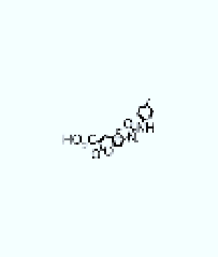 Cc1ccc(NC(=O)N(C)c2cc3oc(=O)c(C(=O)O)cc3s2)cc1